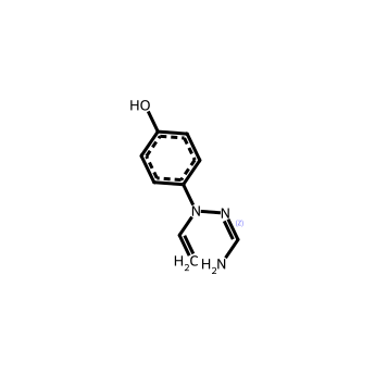 C=CN(/N=C\N)c1ccc(O)cc1